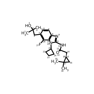 CC(C)(O)Cc1ccc2nc(NC(=O)C[C@H]3CC3(C)C)n(C3CCC3)c2c1F